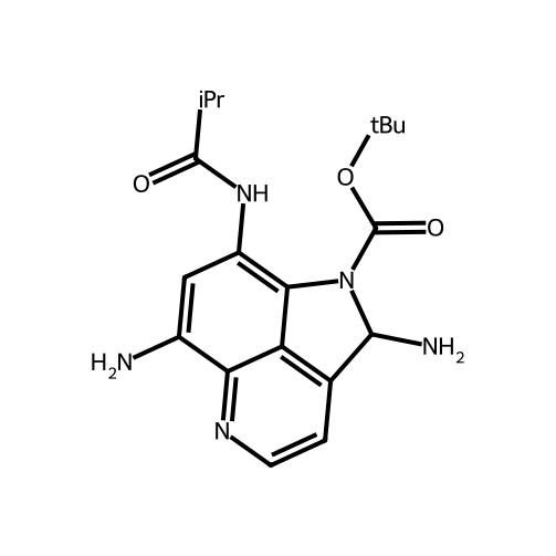 CC(C)C(=O)Nc1cc(N)c2nccc3c2c1N(C(=O)OC(C)(C)C)C3N